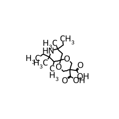 CCC1(C)CC2(OCC(C(=O)O)(C(=O)O)CO2)C(C)C(C)(CC)N1